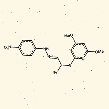 COc1cc(OC)nc(SC(/C=N/Nc2ccc([N+](=O)[O-])cc2)C(C)C)n1